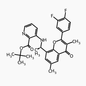 Cc1cc([C@@H](C)Nc2cccnc2C(=O)OC(C)(C)C)c2oc(-c3ccc(F)c(F)c3)c(C)c(=O)c2c1